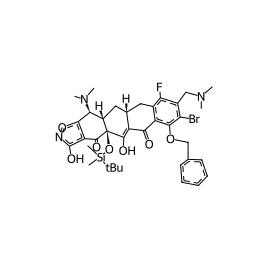 CN(C)Cc1c(F)c2c(c(OCc3ccccc3)c1Br)C(=O)C1=C(O)[C@]3(O[Si](C)(C)C(C)(C)C)C(=O)c4c(O)noc4[C@@H](N(C)C)[C@@H]3C[C@@H]1C2